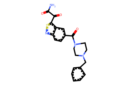 NC(=O)C(=O)c1snc2ccc(C(=O)N3CCN(Cc4ccccc4)CC3)cc12